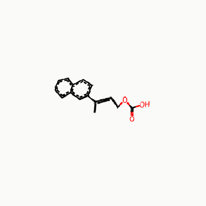 CC(=CCOC(=O)O)c1ccc2ccccc2c1